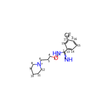 N=C(NOCCCN1CCCCC1)c1cccc(C(F)(F)F)c1